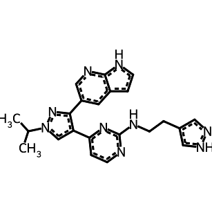 CC(C)n1cc(-c2ccnc(NCCc3cn[nH]c3)n2)c(-c2cnc3[nH]ccc3c2)n1